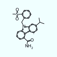 CC(C)c1c[c]c2c3c(C(N)=O)cccc3n(Cc3ccccc3S(C)(=O)=O)c2c1